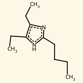 CCCCc1nc(CC)c(CC)[nH]1